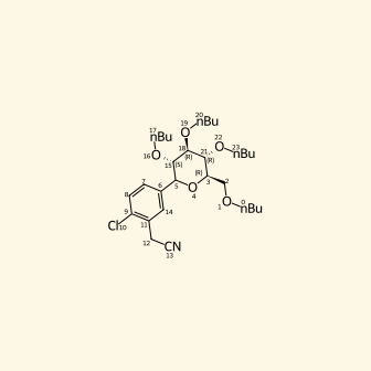 CCCCOC[C@H]1OC(c2ccc(Cl)c(CC#N)c2)[C@H](OCCCC)[C@@H](OCCCC)[C@@H]1OCCCC